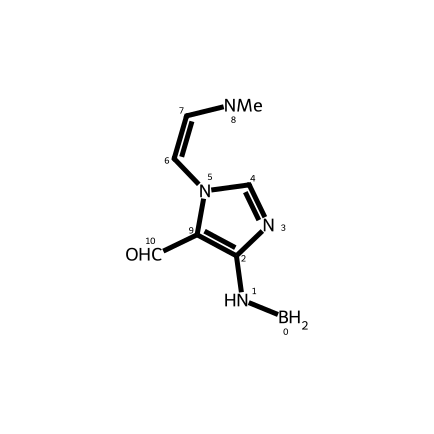 BNc1ncn(/C=C\NC)c1C=O